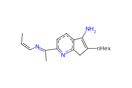 C/C=C\N=C(/C)c1ccc2c(n1)CC(CCCCCC)=C2N